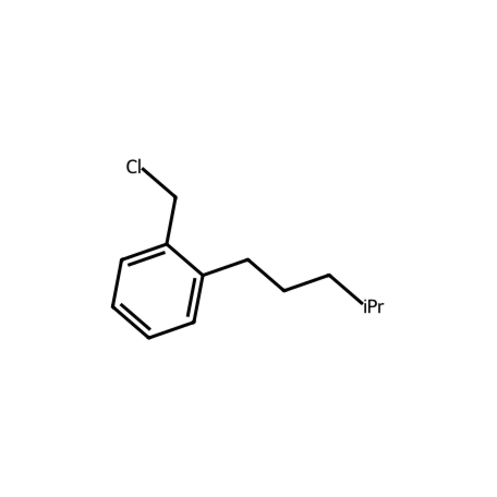 CC(C)CCCc1ccccc1CCl